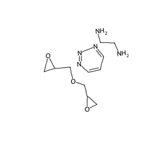 C(OCC1CO1)C1CO1.NCCN.c1cnnnc1